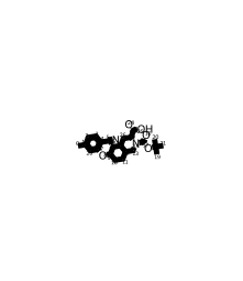 Cc1ccc(C#N)c(OC2CCC3CN(C(=O)OC(C)(C)C)C(C(=O)O)CC3C2)c1